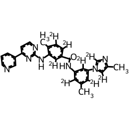 [2H]c1c([2H])c(C(=O)Nc2c([2H])c(C)c([2H])c(-n3c([2H])nc(C)c3[2H])c2[2H])c([2H])c(Nc2nccc(-c3cccnc3)n2)c1C